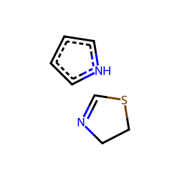 C1=NCCS1.c1cc[nH]c1